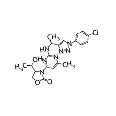 Cc1cc(N2C(=O)OCC2[C@@H](C)O)nc(N[C@@H](C)c2cn(-c3ccc(Cl)cc3)nn2)n1